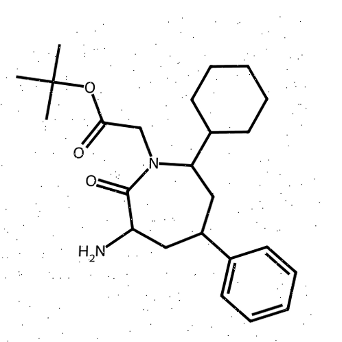 CC(C)(C)OC(=O)CN1C(=O)C(N)CC(c2ccccc2)CC1C1CCCCC1